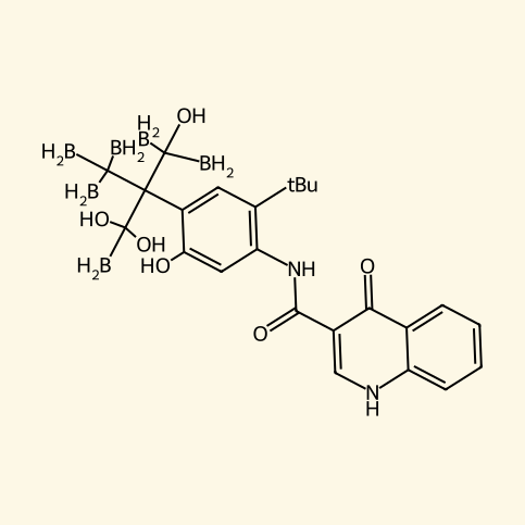 BC(B)(B)C(c1cc(C(C)(C)C)c(NC(=O)c2c[nH]c3ccccc3c2=O)cc1O)(C(B)(B)O)C(B)(O)O